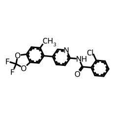 Cc1cc2c(cc1-c1ccc(NC(=O)c3ccccc3Cl)nc1)OC(F)(F)O2